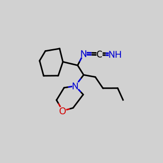 CCCCC(C(N=C=N)C1CCCCC1)N1CCOCC1